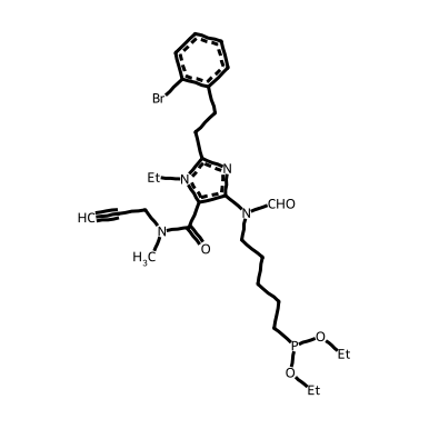 C#CCN(C)C(=O)c1c(N(C=O)CCCCCP(OCC)OCC)nc(CCc2ccccc2Br)n1CC